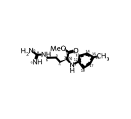 COC(=O)[C@H](CCCNC(=N)N)Nc1ccc(C)cc1